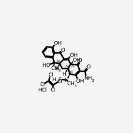 CN(C)[C@@H]1C(O)=C(C(N)=O)C(=O)[C@@]2(O)C(O)=C3C(=O)c4c(O)cccc4[C@@](C)(O)[C@H]3C[C@@H]12.Cl.ClC(Cl)=C(Cl)Cl